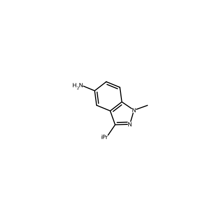 CC(C)c1nn(C)c2ccc(N)cc12